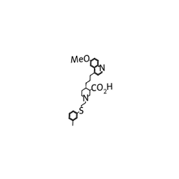 COc1ccc2nccc(CCC[C@@H]3CCN(CCSc4cccc(C)c4)C[C@@H]3C(=O)O)c2c1